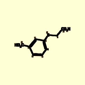 O=C(O)CSc1cccc(C(=O)O)c1